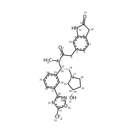 CN(C(=O)Cc1ccc2c(c1)NC(=O)C2)[C@H](CN1CC[C@H](O)C1)c1cccc(-c2noc(C(F)(F)F)n2)c1